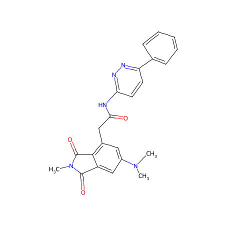 CN1C(=O)c2cc(N(C)C)cc(CC(=O)Nc3ccc(-c4ccccc4)nn3)c2C1=O